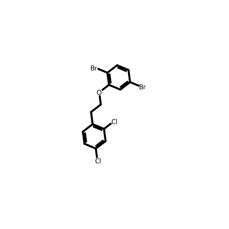 Clc1ccc(CCOc2cc(Br)ccc2Br)c(Cl)c1